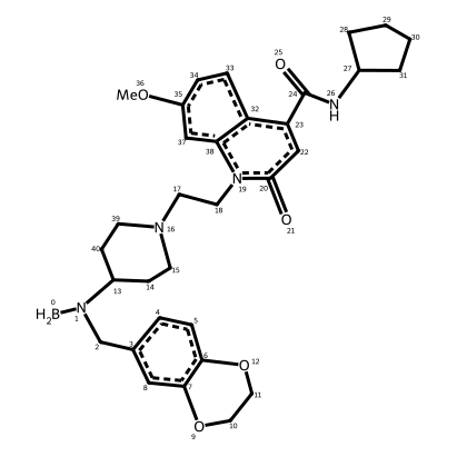 BN(Cc1ccc2c(c1)OCCO2)C1CCN(CCn2c(=O)cc(C(=O)NC3CCCC3)c3ccc(OC)cc32)CC1